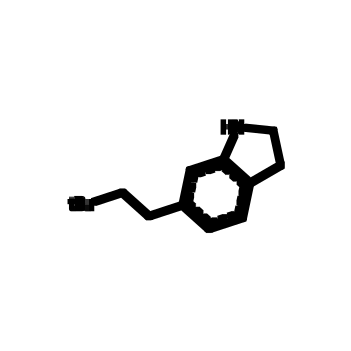 CC(C)(C)CCc1ccc2c(c1)NCC2